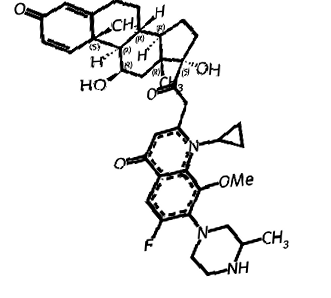 COc1c(N2CCNC(C)C2)c(F)cc2c(=O)cc(CC(=O)[C@]3(O)CC[C@@H]4[C@H]5CCC6=CC(=O)C=C[C@@]6(C)[C@@H]5[C@H](O)C[C@]43C)n(C3CC3)c12